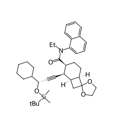 CCN(C(=O)[C@H]1CC[C@@H]2[C@@H](CC23OCCO3)[C@H]1C#C[C@H](O[Si](C)(C)C(C)(C)C)C1CCCCC1)c1cccc2ccccc12